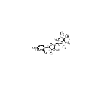 CC(C)(C)[Si](C)(C)OC[C@@H]1O[C@H](n2ccc(=O)[nH]c2=O)[C@@H](Cl)[C@H]1O